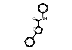 O=C(Nc1ccccc1)c1ccc(-c2ccccc2)o1